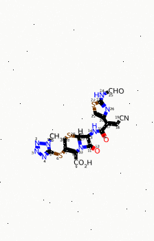 Cn1nnnc1SC1=C(C(=O)O)N2C(=O)C(NC(=O)C(=CC#N)c3csc(NC=O)n3)[C@@H]2SC1